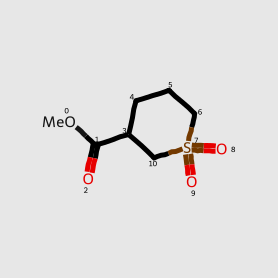 COC(=O)C1CCCS(=O)(=O)C1